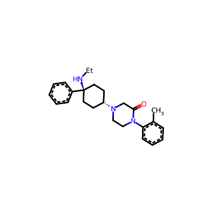 CCN[C@]1(c2ccccc2)CC[C@@H](N2CCN(c3ccccc3C)C(=O)C2)CC1